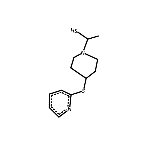 CC(S)N1CCC(Sc2ccccn2)CC1